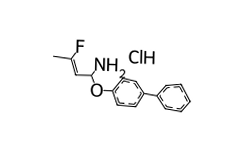 CC(F)=CC(N)Oc1ccc(-c2ccccc2)cc1.Cl